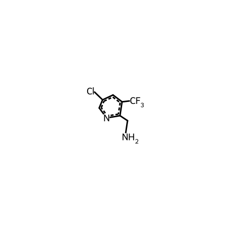 NCc1ncc(Cl)cc1C(F)(F)F